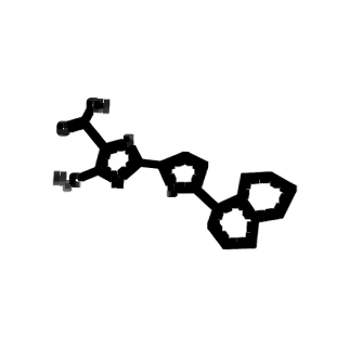 Cc1nc(-c2ccc(-c3cccc4ccccc34)s2)sc1C(=O)O